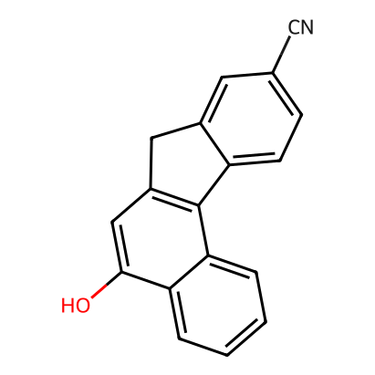 N#Cc1ccc2c(c1)Cc1cc(O)c3ccccc3c1-2